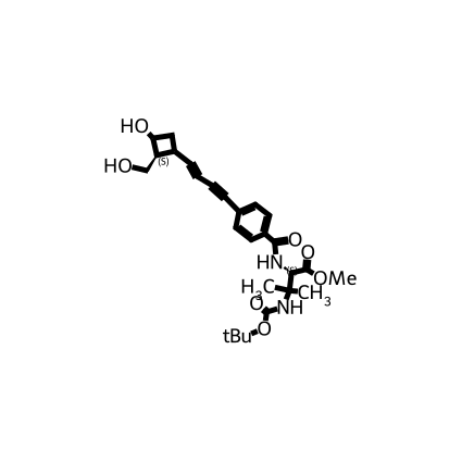 COC(=O)[C@@H](NC(=O)c1ccc(C#CC#CC2CC(O)[C@@H]2CO)cc1)C(C)(C)NC(=O)OC(C)(C)C